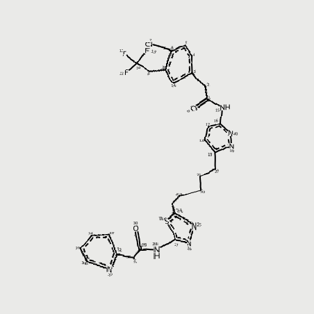 O=C(Cc1ccc(Cl)c(CC(F)(F)F)c1)Nc1ccc(CCCCc2nnc(NC(=O)Cc3ccccn3)s2)nn1